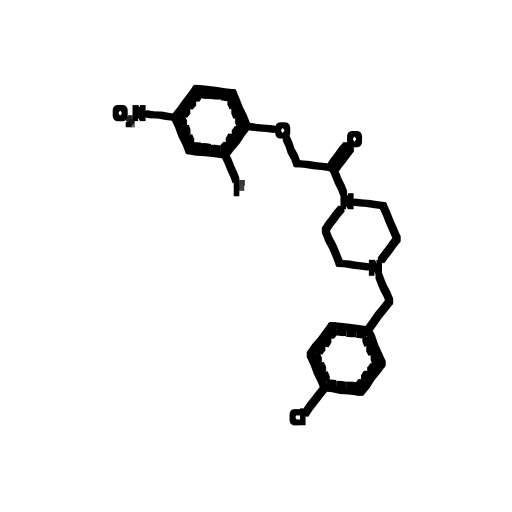 O=C(COc1ccc([N+](=O)[O-])cc1F)N1CCN(Cc2ccc(Cl)cc2)CC1